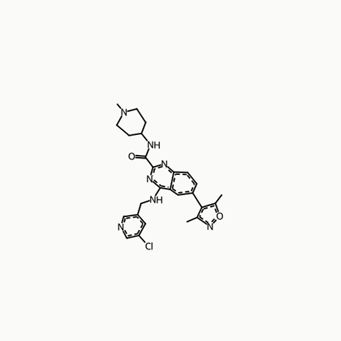 Cc1noc(C)c1-c1ccc2nc(C(=O)NC3CCN(C)CC3)nc(NCc3cncc(Cl)c3)c2c1